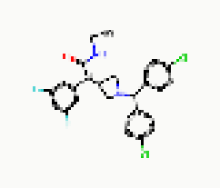 CC(C)CNC(=O)[C@H](c1cc(F)cc(F)c1)C1CN(C(c2ccc(Cl)cc2)c2ccc(Cl)cc2)C1